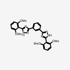 COc1cccc(OC)c1-c1nc(-c2cccc(-c3n[nH]c(-c4c(OC)cccc4OC)n3)c2)n[nH]1